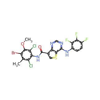 COc1c(Cl)c(NC(=O)c2csc3c(Nc4ccc(F)c(F)c4F)ncnc23)c(Cl)c(C)c1Br